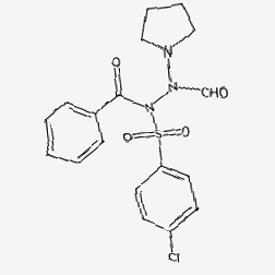 O=CN(N1CCCC1)N(C(=O)c1ccccc1)S(=O)(=O)c1ccc(Cl)cc1